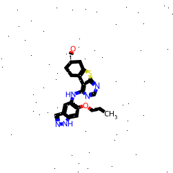 CCCOc1cc2[nH]ncc2cc1Nc1ncnc2sc3c(c12)CC[C@H](C=O)C3